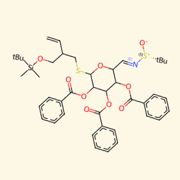 C=CC(CO[Si](C)(C)C(C)(C)C)CSC1OC(/C=N/[S@+]([O-])C(C)(C)C)C(OC(=O)c2ccccc2)C(OC(=O)c2ccccc2)C1OC(=O)c1ccccc1